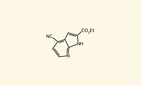 CCOC(=O)c1cc2c(C#N)ccnc2[nH]1